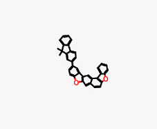 CC1(C)c2ccccc2-c2ccc(-c3ccc4oc5cc6ccc7oc8ccccc8c7c6cc5c4c3)cc21